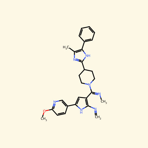 C=Nc1[nH]c(-c2ccc(OC)nc2)cc1/C(=N\C)N1CCC(c2nc(C)c(-c3ccccc3)[nH]2)CC1